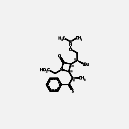 C[C@@H](C(=S)c1ccccc1)[C@@H]1[C@H]([C@@H](CO[SiH](C)C)C(C)(C)C)C(=O)N1CC(=O)O